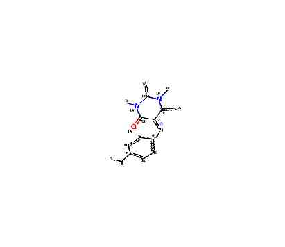 C=C1/C(=C/c2ccc(CC)cc2)C(=O)N(C)C(=C)N1C